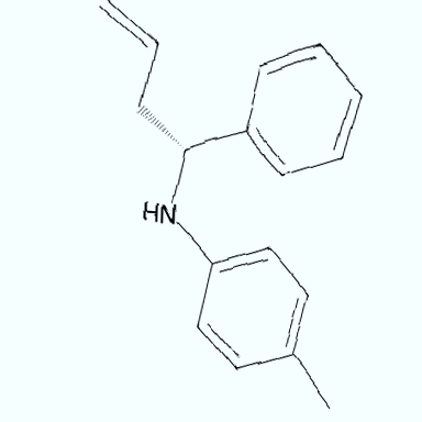 C=CC[C@@H](Nc1ccc(C)cc1)c1ccccc1